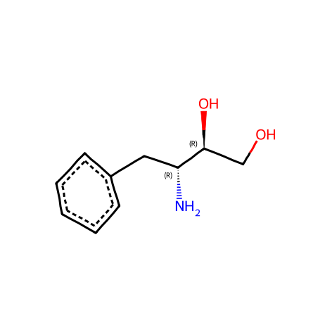 N[C@H](Cc1ccccc1)[C@@H](O)CO